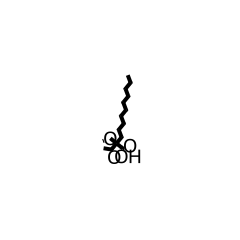 CCCCCCCCCCC(OC)(C(C)=O)C(=O)O